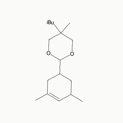 CCC(C)C1(C)COC(C2CC(C)=CC(C)C2)OC1